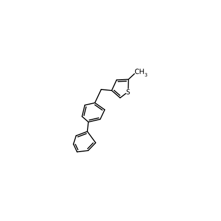 Cc1cc(Cc2ccc(-c3ccccc3)cc2)cs1